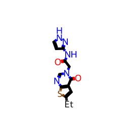 CCc1cc2c(=O)n(CC(=O)Nc3cc[nH]n3)cnc2s1